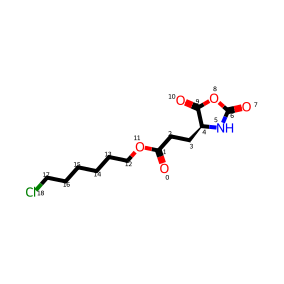 O=C(CC[C@@H]1NC(=O)OC1=O)OCCCCCCCl